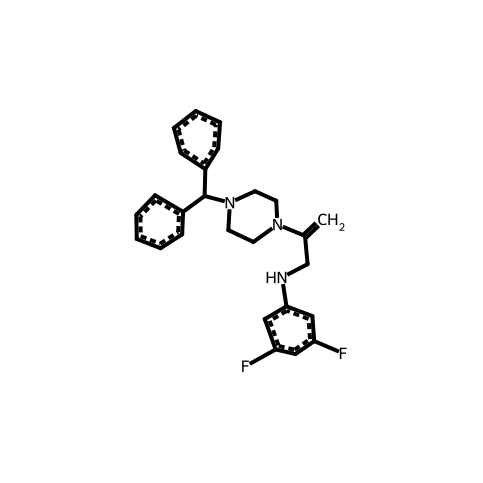 C=C(CNc1cc(F)cc(F)c1)N1CCN(C(c2ccccc2)c2ccccc2)CC1